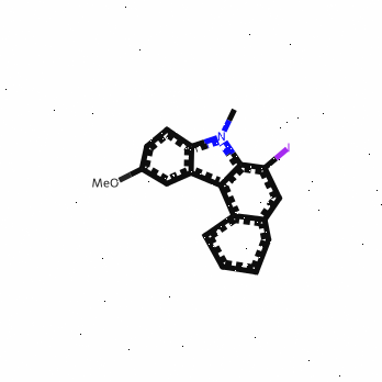 COc1ccc2c(c1)c1c3ccccc3cc(I)c1n2C